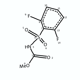 COC(=O)NS(=O)(=O)c1c(F)cccc1F